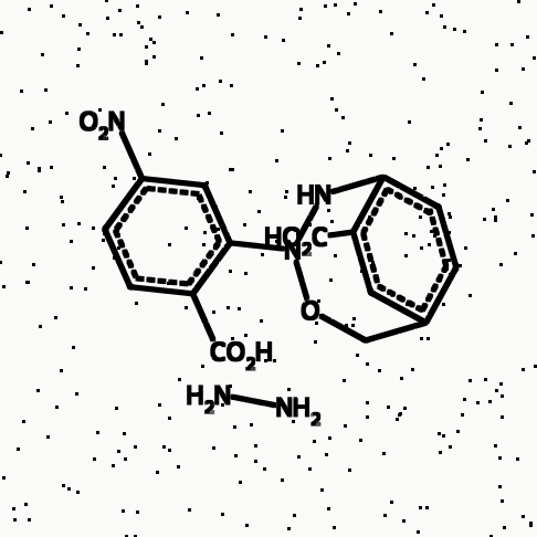 NN.O=C(O)c1cc2ccc1NN(c1cc([N+](=O)[O-])ccc1C(=O)O)OC2